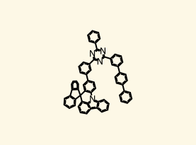 c1ccc(-c2ccc(-c3cccc(-c4nc(-c5ccccc5)nc(-c5cccc(-c6ccc7c(c6)C6(c8ccccc8-c8ccccc86)c6cccc8c9ccccc9n-7c68)c5)n4)c3)cc2)cc1